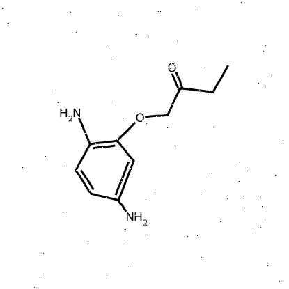 CCC(=O)COc1cc(N)ccc1N